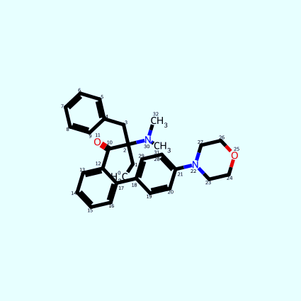 CCC(Cc1ccccc1)(C(=O)c1ccccc1-c1ccc(N2CCOCC2)cc1)N(C)C